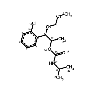 COCO[C@H](c1ccccc1Cl)[C@@H](C)OC(=O)NC(C)C